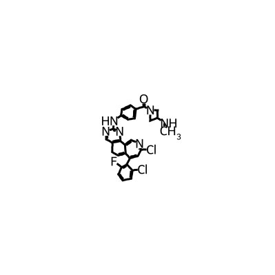 CNC1CN(C(=O)c2ccc(Nc3ncc4c(n3)C3=CN=C(Cl)C=C(c5c(F)cccc5Cl)C3=CC4)cc2)C1